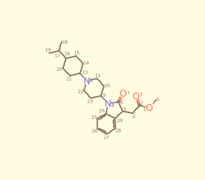 COC(=O)CC1C(=O)N(C2CCN(C3CCC(C(C)C)CC3)CC2)c2ccccc21